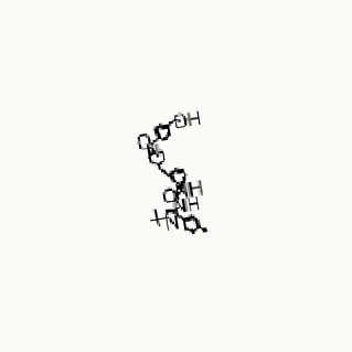 Cc1ccc(C2N=C(C(C)(C)C)C=C2NC(=O)Nc2cccc(CC3CCN(C(=O)c4ccc(CO)cc4)CC3)c2)cc1